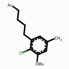 CC(=O)CCCCc1cc(C)cc(OCC(C)C)c1Cl